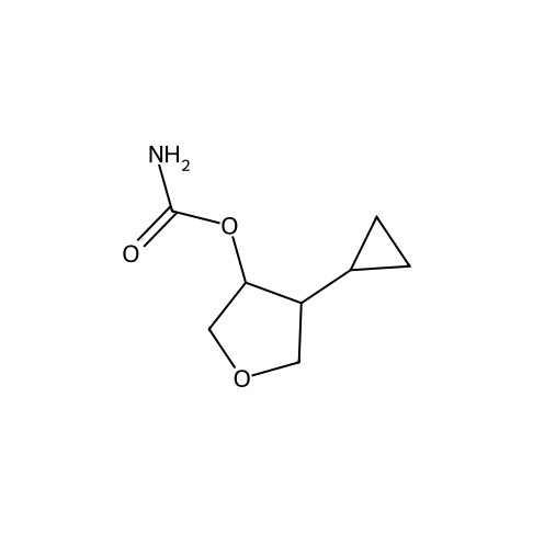 NC(=O)OC1COCC1C1CC1